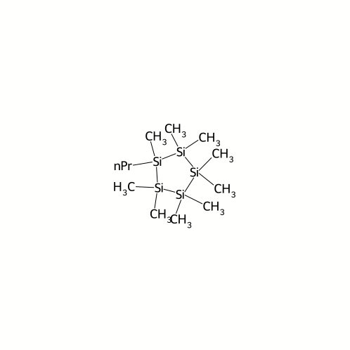 CCC[Si]1(C)[Si](C)(C)[Si](C)(C)[Si](C)(C)[Si]1(C)C